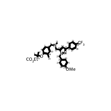 CCOC(=O)C(C)(C)Oc1ccc(CN(C)Cc2cc(-c3ccc(C(F)(F)F)cc3)nn2Cc2ccc(OC)cc2)cc1C